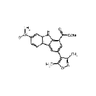 COC(=O)c1cc(-c2c(C)noc2C)cc2c1[nH]c1cc([S+](C)[O-])ccc12